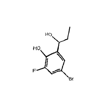 CCC(O)c1cc(Br)cc(F)c1O